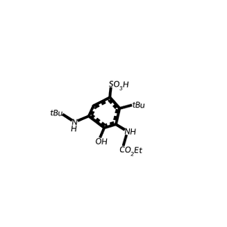 CCOC(=O)Nc1c(O)c(NC(C)(C)C)cc(S(=O)(=O)O)c1C(C)(C)C